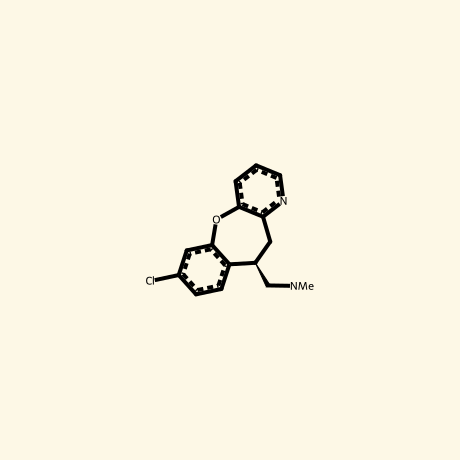 CNC[C@@H]1Cc2ncccc2Oc2cc(Cl)ccc21